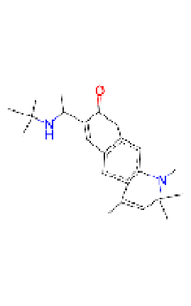 CC1=CC(C)(C)N(C)c2cc3c(cc21)C=C(C(C)NC(C)(C)C)C(=O)C3